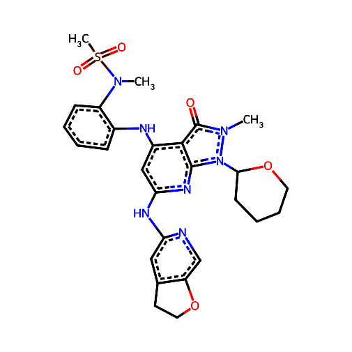 CN(c1ccccc1Nc1cc(Nc2cc3c(cn2)OCC3)nc2c1c(=O)n(C)n2C1CCCCO1)S(C)(=O)=O